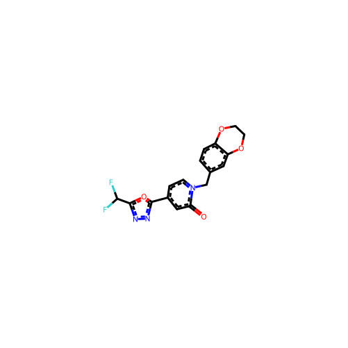 O=c1cc(-c2nnc(C(F)F)o2)ccn1Cc1ccc2c(c1)OCCO2